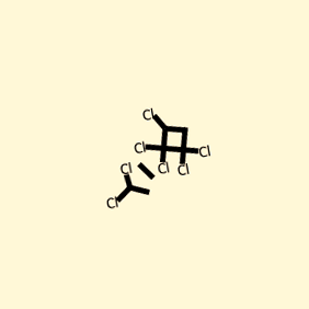 CC.CC(Cl)Cl.ClC1CC(Cl)(Cl)C1(Cl)Cl